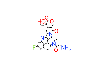 CCN(C(=O)CN)[C@H]1CCc2c(C)c(F)cc3nc4c(c1c23)Cn1c-4cc2c(c1=O)COC(=O)[C@]2(O)CC